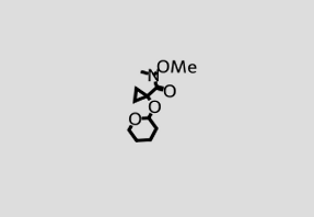 CON(C)C(=O)C1(OC2CCCCO2)CC1